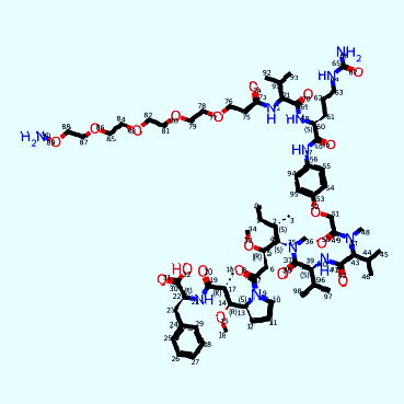 CC[C@H](C)[C@@H]([C@@H](CC(=O)N1CCC[C@H]1[C@H](OC)[C@@H](C)C(=O)N[C@@H](Cc1ccccc1)C(=O)O)OC)N(C)C(=O)[C@@H](NC(=O)C(C(C)C)N(C)C(=O)COc1ccc(NC(=O)[C@H](CCCNC(N)=O)NC(=O)C(NC(=O)CCOCCOCCOCCOCCON)C(C)C)cc1)C(C)C